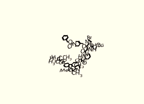 CCn1c(-c2cccnc2[C@H](C)OC)c(CC(C)(C)COC(=O)[C@@H]2CCCN(C(=O)[C@@H](NC(=O)OC(C)(C)C)[C@H](OCC3=CCN(C(=O)OCc4ccccc4)CC3)c3nc(Br)cs3)N2)c2cc(B3OC(C)(C)C(C)(C)O3)ccc21